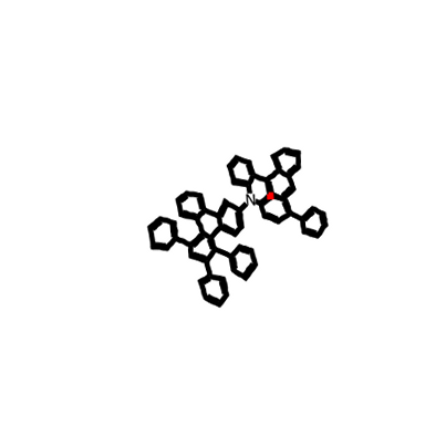 c1ccc(-c2ccc(N(c3ccc4c(c3)c3ccccc3c3c(-c5ccccc5)cc(-c5ccccc5)c(-c5ccccc5)c43)c3ccccc3-c3cccc4ccccc34)cc2)cc1